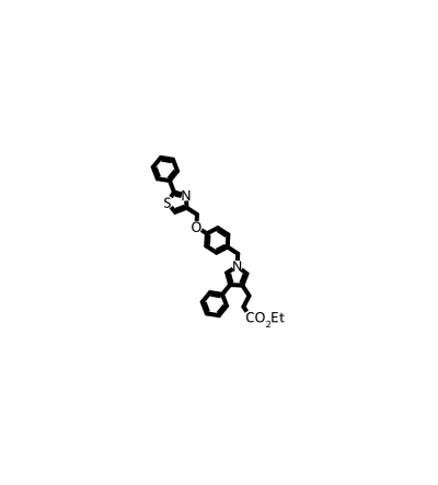 CCOC(=O)CCc1cn(Cc2ccc(OCc3csc(-c4ccccc4)n3)cc2)cc1-c1ccccc1